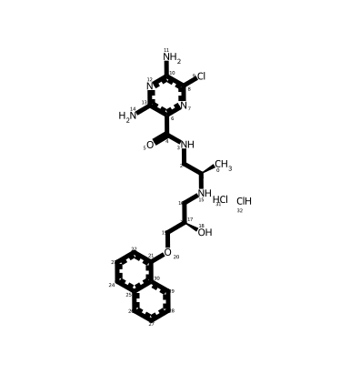 C[C@H](CNC(=O)c1nc(Cl)c(N)nc1N)NC[C@@H](O)COc1cccc2ccccc12.Cl.Cl